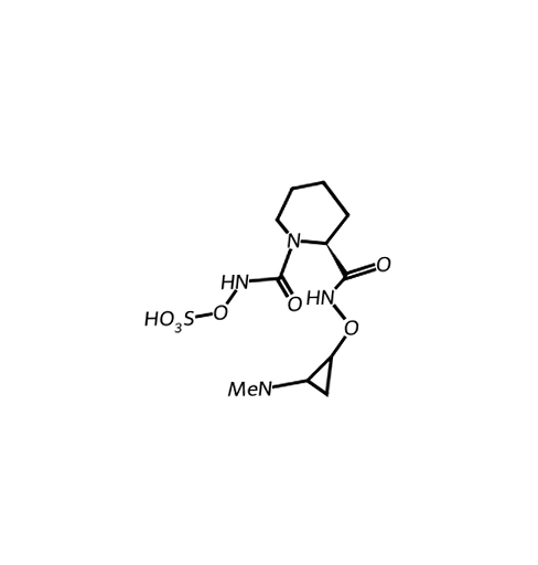 CNC1CC1ONC(=O)[C@@H]1CCCCN1C(=O)NOS(=O)(=O)O